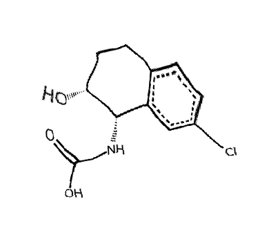 O=C(O)N[C@H]1c2cc(Cl)ccc2CC[C@H]1O